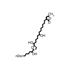 CCCCCCCCCCCCCC[C@@H](O)[C@H]1CC[C@H]([C@H](O)CCCC[C@H](O)CCCCCCCC2=C[C@H](C)OC2=O)O1